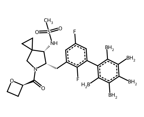 Bc1c(B)c(B)c(-c2cc(F)cc(C[C@H]3[C@@H](NS(C)(=O)=O)C4(CC4)CN3C(=O)[C@H]3CCO3)c2F)c(B)c1B